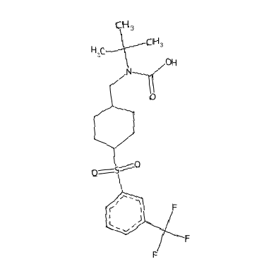 CC(C)(C)N(CC1CCC(S(=O)(=O)c2cccc(C(F)(F)F)c2)CC1)C(=O)O